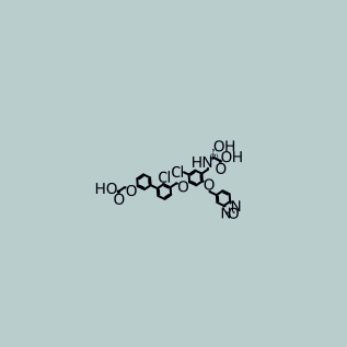 O=C(O)COc1cccc(-c2cccc(COc3cc(OCc4ccc5nonc5c4)c(CN[C@H](CO)C(=O)O)cc3Cl)c2Cl)c1